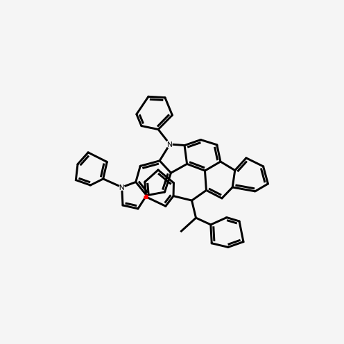 CC(c1ccccc1)C(c1ccccc1)c1cc2ccccc2c2ccc3c(c4cc5ccn(-c6ccccc6)c5cc4n3-c3ccccc3)c12